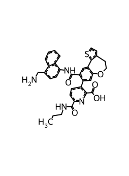 CCCNC(=O)c1ccc(-c2cc3c(cc2C(=O)Nc2ccc(CN)c4ccccc24)-c2sccc2CCO3)c(C(=O)O)n1